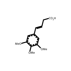 COc1cc(C=CCC(=O)O)cc(OC)c1OC